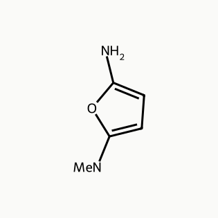 CNc1ccc(N)o1